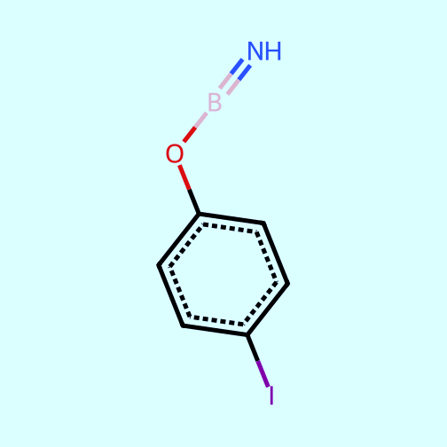 N=BOc1ccc(I)cc1